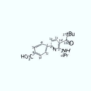 CC(C)Nc1nc(-c2ccc(C(=O)O)cc2)ccc1C(=O)C(C)(C)C